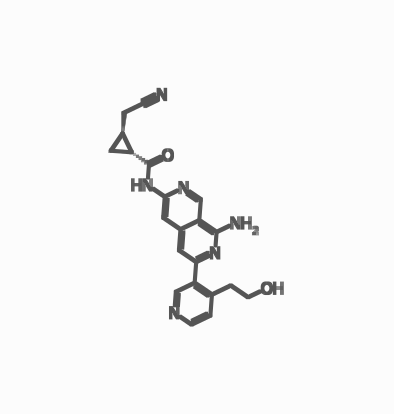 N#CC[C@@H]1C[C@H]1C(=O)Nc1cc2cc(-c3cnccc3CCO)nc(N)c2cn1